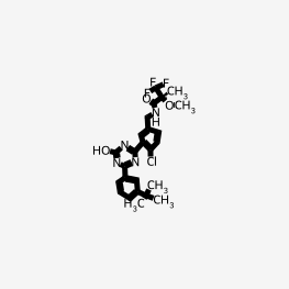 CO[C@](C)(C(=O)NCc1ccc(Cl)c(-c2nc(O)nc(-c3cccc(C(C)(C)C)c3)n2)c1)C(F)(F)F